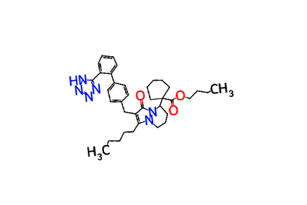 CCCCCc1c(Cc2ccc(-c3ccccc3-c3nnn[nH]3)cc2)c(=O)n2n1CCCC2C1(C(=O)OCCCC)CCCCC1